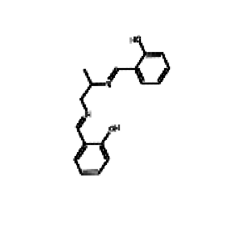 CC(CN=Cc1ccccc1O)N=Cc1ccccc1O